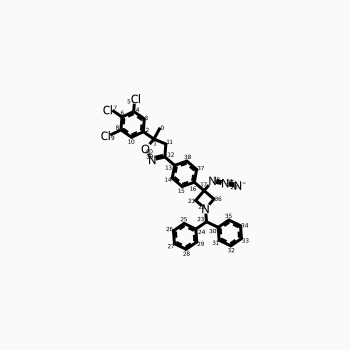 CC1(c2cc(Cl)c(Cl)c(Cl)c2)CC(c2ccc(C3(N=[N+]=[N-])CN(C(c4ccccc4)c4ccccc4)C3)cc2)=NO1